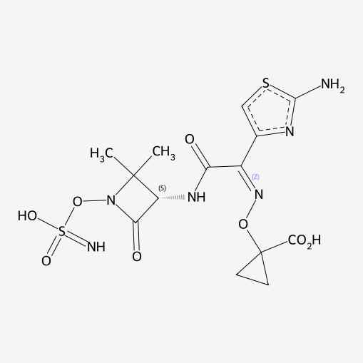 CC1(C)[C@H](NC(=O)/C(=N\OC2(C(=O)O)CC2)c2csc(N)n2)C(=O)N1OS(=N)(=O)O